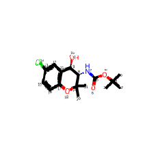 CC(C)(C)OC(=O)N[C@H]1[C@H](O)c2cc(Cl)ccc2OC1(C)C